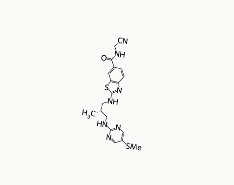 CSc1cnc(NC[C@H](C)CNc2nc3ccc(C(=O)NCC#N)cc3s2)nc1